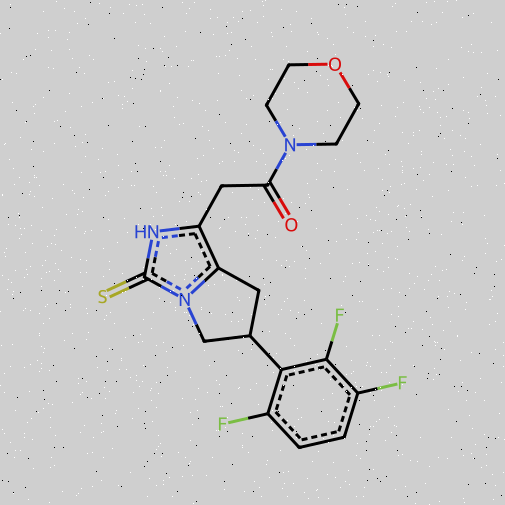 O=C(Cc1[nH]c(=S)n2c1CC(c1c(F)ccc(F)c1F)C2)N1CCOCC1